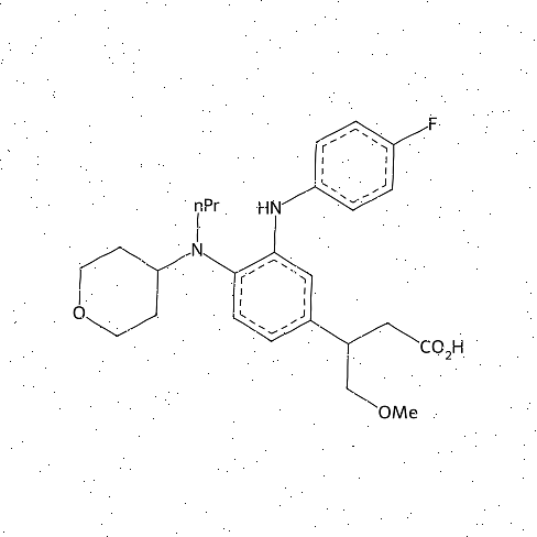 CCCN(c1ccc(C(COC)CC(=O)O)cc1Nc1ccc(F)cc1)C1CCOCC1